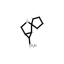 CCOC(=O)C1C2COC3(CCCC3)C21